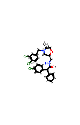 C[C@@H]1CO[C@@H](CNC(=O)C(c2ccccc2)c2ccc(Cl)cc2)CN1Cc1ccc(Cl)c(Cl)c1